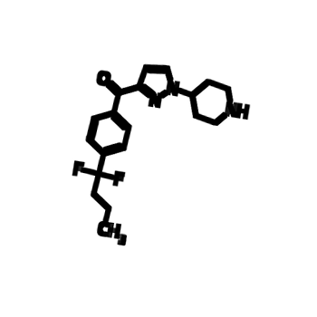 CCCC(F)(F)c1ccc(C(=O)c2ccn(C3CCNCC3)n2)cc1